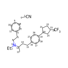 CC#N.CCN(CCc1ccccc1)C(C)CCc1ccc(C2CCC(C(F)(F)F)C2)cc1